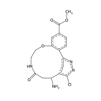 COC(=O)c1ccc2c(c1)OCCNC(=O)CC(N)c1cc-2nnc1Cl